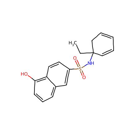 CCC1(NS(=O)(=O)c2ccc3c(O)cccc3c2)C=CC=CC1